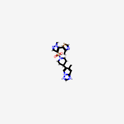 Cc1cc2ncnn2cc1C1CCN(S(=O)(=O)c2cnn(C)c2-c2scnc2C)CC1